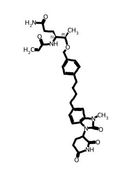 C=CC(=O)N[C@@H](CCC(N)=O)[C@@H](C)OCc1ccc(CCCCc2ccc3c(c2)n(C)c(=O)n3C2CCC(=O)NC2=O)cc1